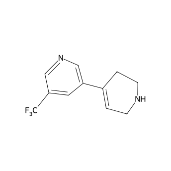 FC(F)(F)c1cncc(C2=CCNCC2)c1